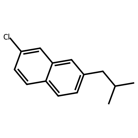 CC(C)Cc1ccc2ccc(Cl)cc2c1